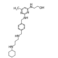 Cc1cc(NCCO)nc(NCc2ccc(CNCCCNC3CCCCC3)cc2)n1